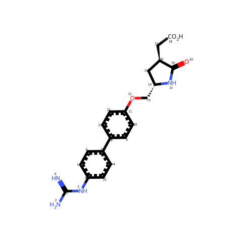 N=C(N)Nc1ccc(-c2ccc(OC[C@@H]3C[C@@H](CC(=O)O)C(=O)N3)cc2)cc1